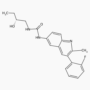 CC[C@@H](O)CNC(=O)Nc1ccc2nc(C)c(-c3ccccc3F)cc2c1